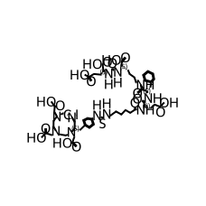 O=C(O)CC[C@H](NC(=O)N[C@@H](CCCCNC(=O)[C@H](Cc1ccccc1)NC(=O)[C@H](CCC(=O)O)NC(=O)CCCCCNC(=S)Nc1ccc(C[C@H]2CN(I)CCN(CC(=O)O)CCN(CC(=O)O)CCN2CC(=O)O)cc1)C(=O)O)C(=O)O